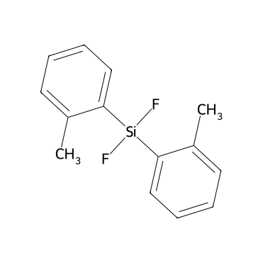 Cc1ccccc1[Si](F)(F)c1ccccc1C